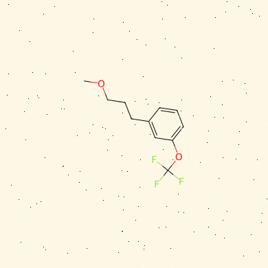 COCCCc1cccc(OC(F)(F)F)c1